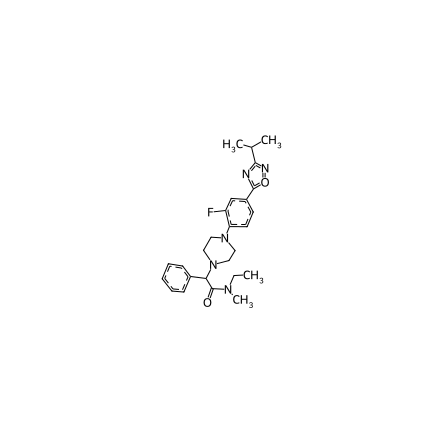 CCN(C)C(=O)C(c1ccccc1)N1CCN(c2ccc(-c3nc(C(C)C)no3)cc2F)CC1